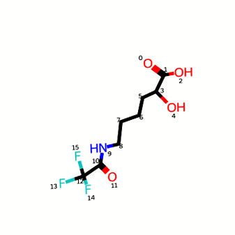 O=C(O)C(O)CCCCNC(=O)C(F)(F)F